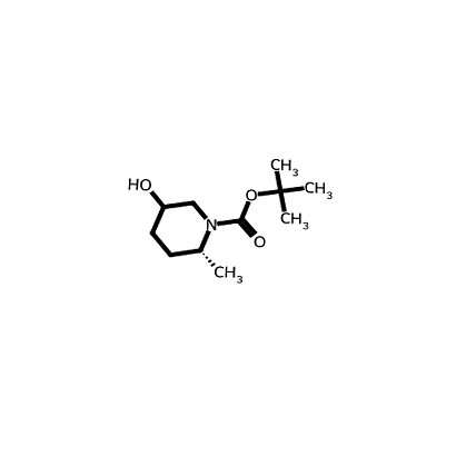 C[C@@H]1CCC(O)CN1C(=O)OC(C)(C)C